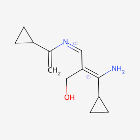 C=C(/N=C\C(CO)=C(/N)C1CC1)C1CC1